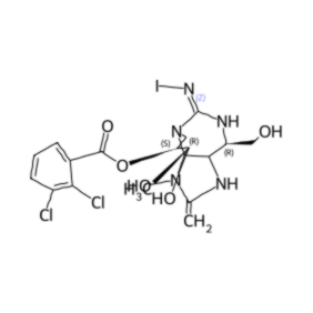 C=C1NC2[C@H](CO)N/C(=N/I)N3C[C@H](OC(=O)c4cccc(Cl)c4Cl)[C@](C)(O)C23N1O